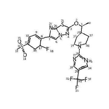 C[C@H](Oc1nn2cc(C3=CC=C(S(C)(=O)=O)CC3F)nc2s1)C1CCN(c2ncc(C(F)(F)F)cn2)CC1